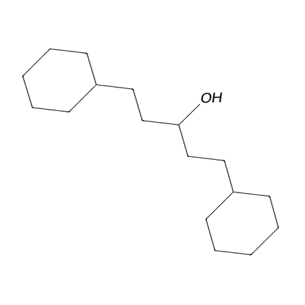 OC(CCC1CCCCC1)CCC1CCCCC1